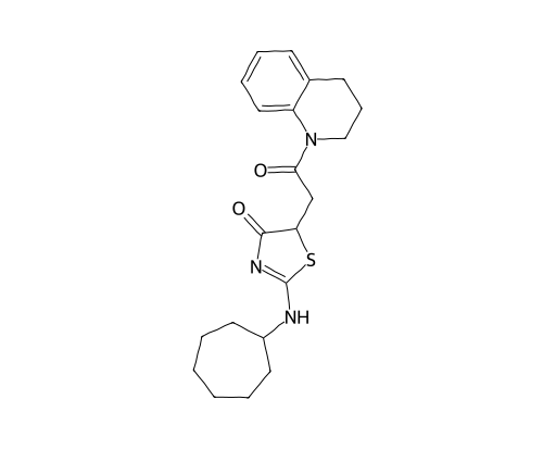 O=C1N=C(NC2CCCCCC2)SC1CC(=O)N1CCCc2ccccc21